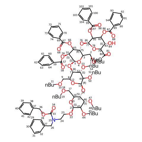 CCCCOCC1O[C@@H](O[C@@H]2C(COCCCC)O[C@H](O[C@H]3C(COCCCC)O[C@H](OCCN(Cc4ccccc4)C(=O)OCc4ccccc4)C(OCCCC)[C@H]3OCCCC)C(OCCCC)[C@H]2OCCCC)[C@@H](OC(=O)c2ccccc2)C(OC(=O)c2ccccc2)[C@@H]1O[C@@H]1OC(C(=O)OC)[C@@H](O)C(OC(=O)c2ccccc2)C1OC(=O)c1ccccc1